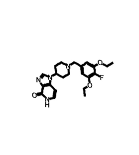 CCOc1cc(CN2CCC(n3cnc4c(=O)[nH]ccc43)CC2)cc(OCC)c1F